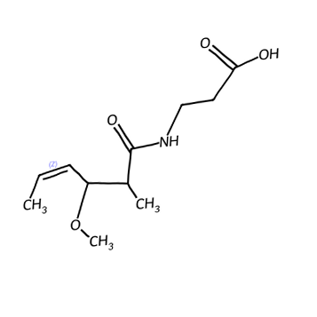 C/C=C\C(OC)C(C)C(=O)NCCC(=O)O